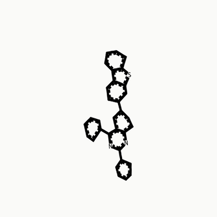 c1ccc(-c2nc(-c3ccccc3)c3cc(-c4ccc5c(c4)sc4ccccc45)ccc3n2)cc1